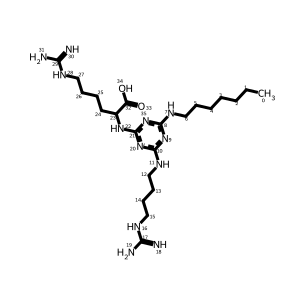 CCCCCCCNc1nc(NCCCCNC(=N)N)nc(NC(CCCCNC(=N)N)C(=O)O)n1